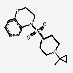 CC1(N2CCN(S(=O)(=O)N3CCOc4ccccc43)CC2)CC1